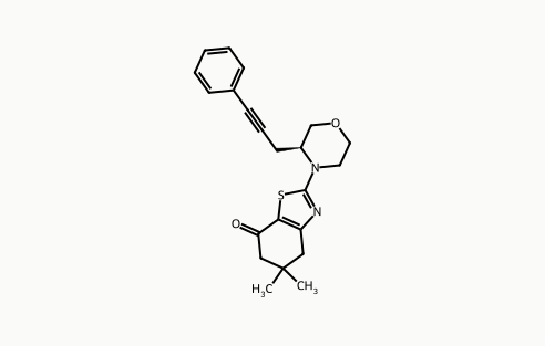 CC1(C)CC(=O)c2sc(N3CCOC[C@@H]3CC#Cc3ccccc3)nc2C1